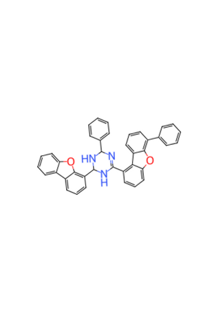 c1ccc(-c2cccc3c2oc2cccc(C4=NC(c5ccccc5)NC(c5cccc6c5oc5ccccc56)N4)c23)cc1